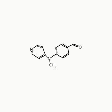 CN(c1ccncc1)c1ccc(C=O)cc1